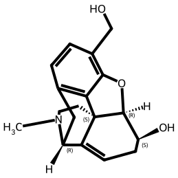 CN1CC[C@@]23C4=CC[C@H](O)[C@@H]2Oc2c(CO)ccc(c23)C[C@H]41